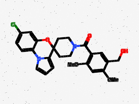 COc1cc(OC)c(C(=O)N2CCC3(CC2)Oc2cc(Cl)ccc2-n2cccc23)cc1CO